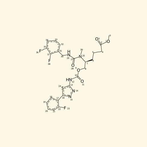 COC(=O)CCC[C@@H](COC(=O)Nc1nnc(-c2ccccc2F)s1)N(C)C(=O)NCc1cccc(F)c1F